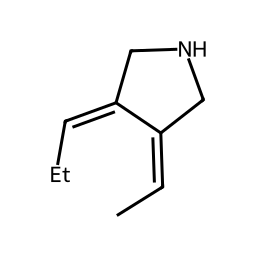 C/C=C1/CNC/C1=C/CC